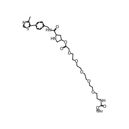 Cc1ncsc1-c1ccc(CNC(=O)C2CC(OC(=O)COCCOCCOCCOCCOCCNC(=O)OC(C)(C)C)CN2)cc1